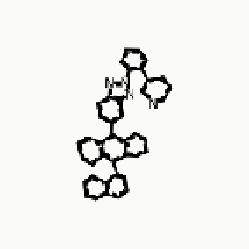 c1cncc(-c2ccccc2-n2nc3ccc(-c4c5ccccc5c(-c5cccc6ccccc56)c5ccccc45)cc3n2)c1